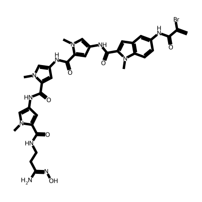 C=C(Br)C(=O)Nc1ccc2c(c1)cc(C(=O)Nc1cc(C(=O)Nc3cc(C(=O)Nc4cc(C(=O)NCCC(N)=NO)n(C)c4)n(C)c3)n(C)c1)n2C